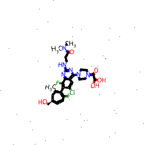 C[C@H]1C[C@H](CO)C=CC(F)=C1c1c(Cl)cc2c(N3CCN(C(=O)C(O)O)CC3)nc(NCCC(=O)N(C)C)nc2c1F